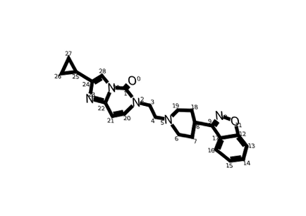 O=c1n(CCN2CCC(c3noc4ccccc34)CC2)ccc2nc(C3CC3)cn12